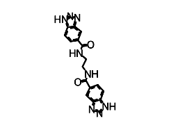 O=C(NCCNC(=O)c1ccc2[nH]nnc2c1)c1ccc2[nH]nnc2c1